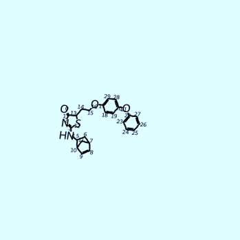 O=C1N=C(NC2CC3C=CC2C3)SC1CCOc1ccc(Oc2ccccc2)cc1